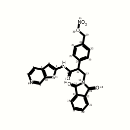 O=C(Nc1cc2ccncc2s1)C(CN1C(=O)c2ccccc2C1=O)c1ccc(CO[N+](=O)[O-])cc1